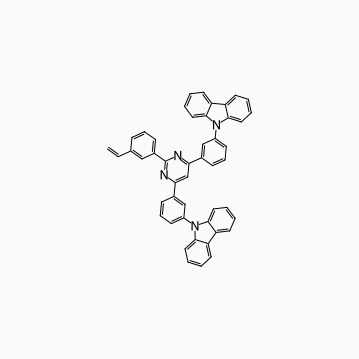 C=Cc1cccc(-c2nc(-c3cccc(-n4c5ccccc5c5ccccc54)c3)cc(-c3cccc(-n4c5ccccc5c5ccccc54)c3)n2)c1